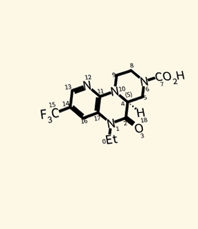 CCN1C(=O)[C@@H]2CN(C(=O)O)CCN2c2ncc(C(F)(F)F)cc21